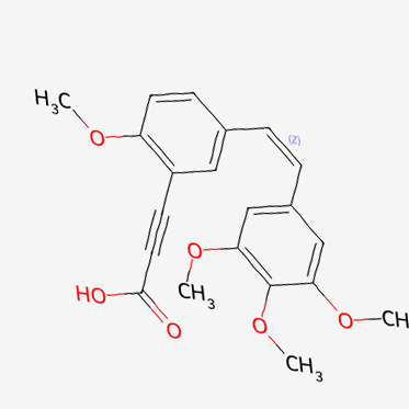 COc1ccc(/C=C\c2cc(OC)c(OC)c(OC)c2)cc1C#CC(=O)O